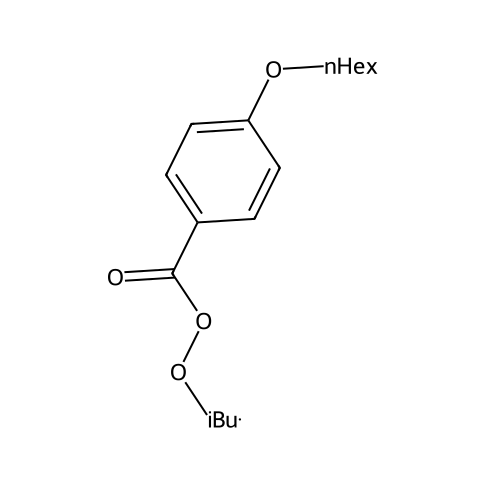 CCCCCCOc1ccc(C(=O)OO[C](C)CC)cc1